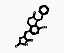 O=C1NC(=O)C(=Cc2ccc(O)c3c2CCC(=O)N3Cc2ccccc2)S1